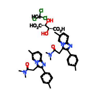 Cc1ccc(-c2nc3ccc(C)cn3c2CC(=O)N(C)C)cc1.Cc1ccc(-c2nc3ccc(C)cn3c2CC(=O)N(C)C)cc1.O=C(O)[C@H](O)[C@@H](O)C(=O)O.[Cl][GeH]([Cl])[Cl]